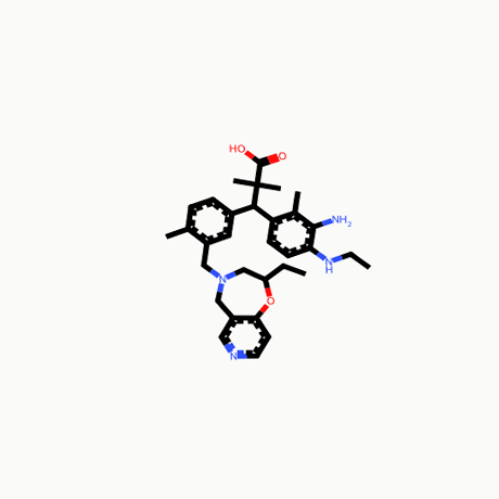 CCNc1ccc(C(c2ccc(C)c(CN3Cc4cnccc4OC(CC)C3)c2)C(C)(C)C(=O)O)c(C)c1N